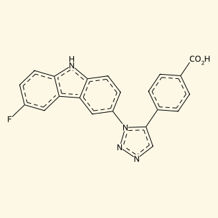 O=C(O)c1ccc(-c2cnnn2-c2ccc3[nH]c4ccc(F)cc4c3c2)cc1